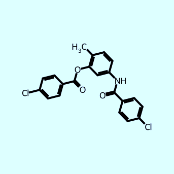 Cc1ccc(NC(=O)c2ccc(Cl)cc2)cc1OC(=O)c1ccc(Cl)cc1